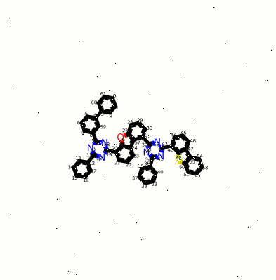 c1ccc(-c2cccc(-c3nc(-c4ccccc4)nc(-c4cccc5c4oc4cccc(-c6nc(-c7ccccc7)nc(-c7cccc8c7sc7ccccc78)n6)c45)n3)c2)cc1